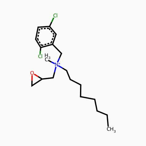 CCCCCCCC[N+](C)(Cc1cc(Cl)ccc1Cl)CC1CO1